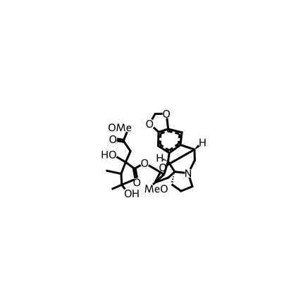 COC(=O)CC(O)(C(=O)OC1[C@H]2c3cc4c(cc3[C@@H]3CN5CCC[C@]25CC1(OC)O3)OCO4)C(C)C(C)(C)O